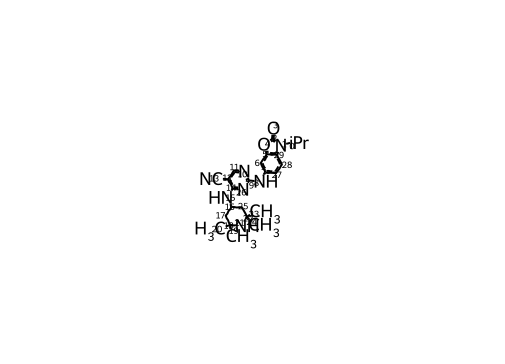 CC(C)n1c(=O)oc2cc(Nc3ncc(C#N)c(NC4CC(C)(C)NC(C)(C)C4)n3)ccc21